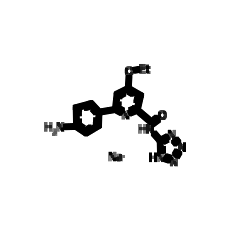 CCOc1cc(C(=O)Nc2nnn[nH]2)nc(-c2ccc(N)cc2)c1.[Na]